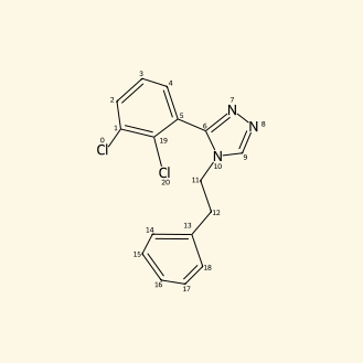 Clc1cccc(-c2nncn2CCc2ccccc2)c1Cl